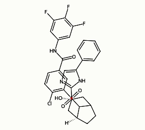 O=C(Nc1cc(F)c(F)c(F)c1)c1ccc(Cl)c(S(=O)(=O)C2C3CC[C@H]2C[C@@](O)(c2ncc(-c4ccccc4)[nH]2)C3)c1